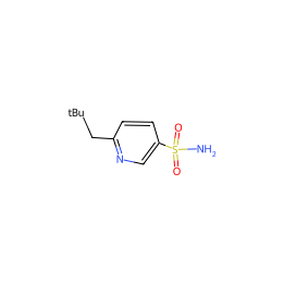 CC(C)(C)Cc1ccc(S(N)(=O)=O)cn1